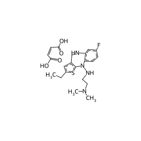 CCc1cc2c(s1)N(NCCN(C)C)c1ccc(F)cc1NC2.O=C(O)/C=C\C(=O)O